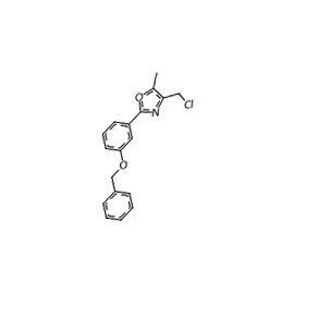 Cc1oc(-c2cccc(OCc3ccccc3)c2)nc1CCl